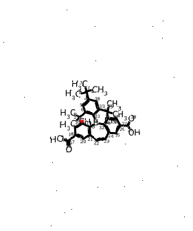 CC(C)(C)c1cc(C(C)(C)C)c(B2c3ccc(C(=O)O)cc3C=Cc3cc(C(=O)O)ccc32)c(C(C)(C)C)c1